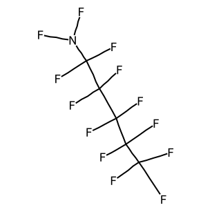 FN(F)C(F)(F)C(F)(F)C(F)(F)C(F)(F)C(F)(F)F